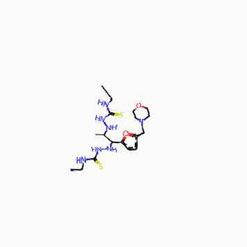 CCNC(=S)NNC(C)C(NNC(=S)NCC)c1ccc(CN2CCOCC2)o1